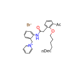 CCCCCCCCCCCCCCOc1c(CC(=O)Nc2ccccc2C[n+]2ccccc2)cccc1C(C)=O.[Br-]